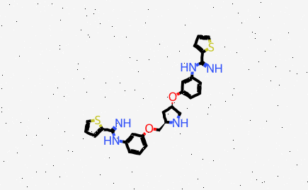 N=C(Nc1cccc(OC[C@H]2C[C@H](Oc3cccc(NC(=N)c4cccs4)c3)CN2)c1)c1cccs1